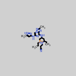 CCCPCC(CC(CC)NCCC#N)Nc1nc(Nc2cc(C)[nH]n2)cn2nc(C)nc12